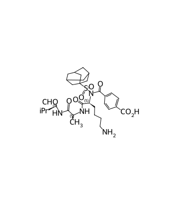 CC(C)[C@@H](C=O)NC(=O)[C@H](C)NC(=O)[C@H](CCCCN)N(C(=O)c1ccc(C(=O)O)cc1)S(=O)(=O)C12CC3CC(CC(C3)C1)C2